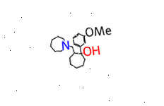 COc1cccc(C2(O)CCCCCC2CN2CCCCCC2)c1